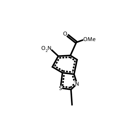 COC(=O)c1cc2nc(C)sc2cc1[N+](=O)[O-]